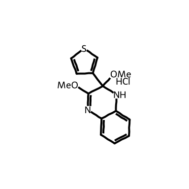 COC1=Nc2ccccc2NC1(OC)c1ccsc1.Cl